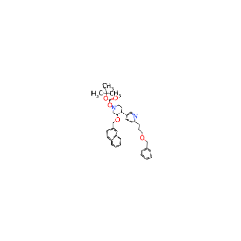 CC(C)(C)OC(=O)ON1CCC(c2ccc(CCCOCc3ccccc3)nc2)C(OCc2ccc3ccccc3c2)C1